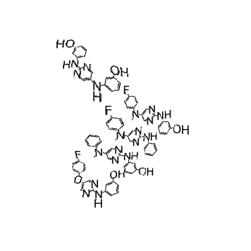 CN(c1ccc(F)cc1)c1cnc(Nc2cccc(O)c2)nc1.CN(c1ccc(F)cc1)c1cnc(Nc2ccccc2)nc1.CN(c1ccccc1)c1cnc(Nc2cccc(O)c2)nc1.Oc1cccc(Nc2cnc(Nc3cccc(O)c3)nc2)c1.Oc1cccc(Nc2ncc(Oc3ccc(F)cc3)cn2)c1